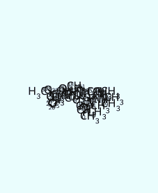 CC[C@H](C)[C@@H]([C@@H](CC(=O)N1CCCC1[C@H](OC)[C@@H](C)C(=O)N[C@@H](Cc1ccccc1)P(=O)(O)CC(=O)OC)OC)N(C)C(=O)C(N=C(N(C)C)N(C)C)C(C)C